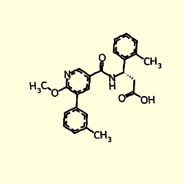 COc1ncc(C(=O)N[C@@H](CC(=O)O)c2ccccc2C)cc1-c1cccc(C)c1